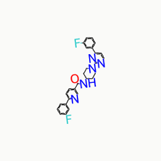 O=C(NC1CCN(c2nccc(-c3cccc(F)c3)n2)CC1)c1ccc(-c2cccc(F)c2)nc1